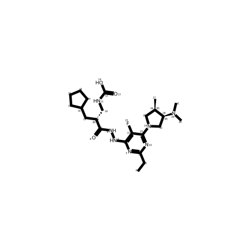 CCc1nc(NNC(=O)[C@@H](CNC(=O)O)CC2CCCC2)c(F)c(N2C[C@@H](C)[C@@H](N(C)C)C2)n1